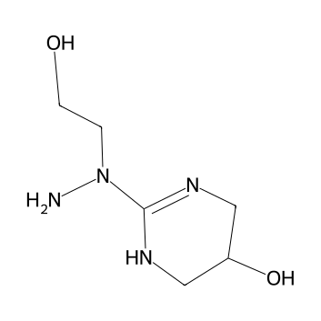 NN(CCO)C1=NCC(O)CN1